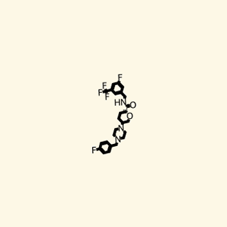 O=C(NCc1cc(F)cc(C(F)(F)F)c1)[C@H]1CCC(N2CCN(Cc3ccc(F)cc3)CC2)CO1